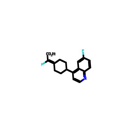 CCOC(=O)C(F)=C1CCC(c2ccnc3ccc(F)cc23)CC1